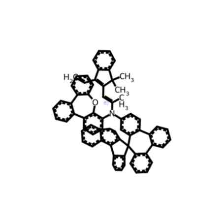 C=CC1=C(/C=C(\C)N(c2ccc3c(c2)C2(c4ccccc4-c4ccccc4-3)c3ccccc3-c3c2ccc2ccccc32)c2cccc3c2Oc2ccccc2-c2ccccc2-3)C(C)(C)c2ccccc21